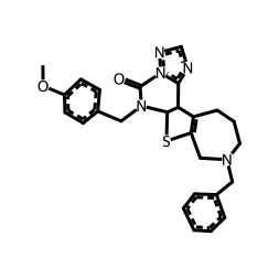 COc1ccc(CN2C(=O)n3ncnc3C3C4=C(CN(Cc5ccccc5)CCC4)SC32)cc1